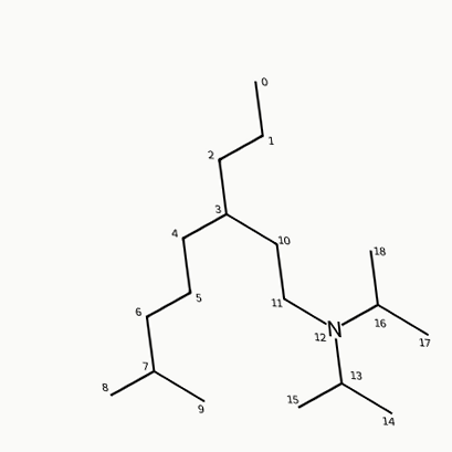 CCCC(CCCC(C)C)CCN(C(C)C)C(C)C